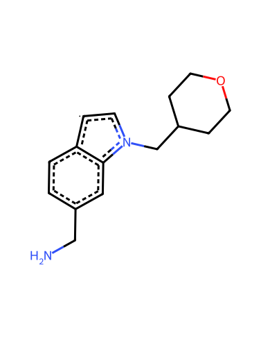 NCc1ccc2[c]cn(CC3CCOCC3)c2c1